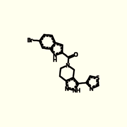 O=C(c1cc2ccc(Br)cc2[nH]1)N1CCc2n[nH]c(-c3cscn3)c2C1